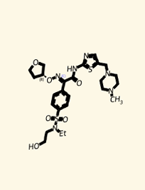 CCN(CCO)S(=O)(=O)c1ccc(/C(=N\O[C@@H]2CCOC2)C(=O)Nc2ncc(CN3CCN(C)CC3)s2)cc1